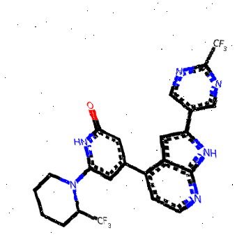 O=c1cc(-c2ccnc3[nH]c(-c4cnc(C(F)(F)F)nc4)cc23)cc(N2CCCCC2C(F)(F)F)[nH]1